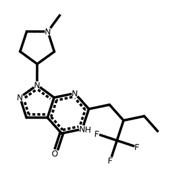 CCC(Cc1nc2c(cnn2C2CCN(C)C2)c(=O)[nH]1)C(F)(F)F